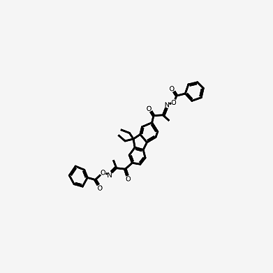 CCC1(CC)c2cc(C(=O)/C(C)=N/OC(=O)c3ccccc3)ccc2-c2ccc(C(=O)/C(C)=N/OC(=O)c3ccccc3)cc21